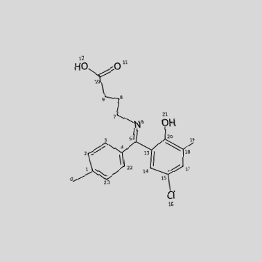 Cc1ccc(/C(=N\CCCC(=O)O)c2cc(Cl)cc(C)c2O)cc1